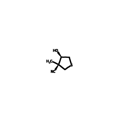 C[C@@]1(C#N)CSC[C@@H]1O